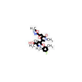 Cc1nnc(-c2cc3c(=O)n(C)cc(-c4cc(C(C)(C)O)cnc4Oc4c(C)cc(F)cc4C)c3o2)o1